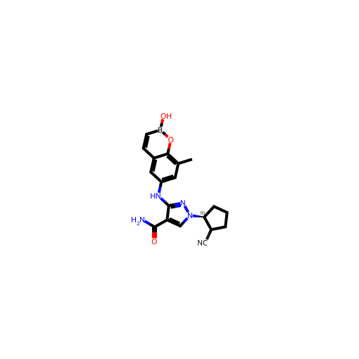 Cc1cc(Nc2nn([C@H]3CCCC3C#N)cc2C(N)=O)cc2c1OB(O)C=C2